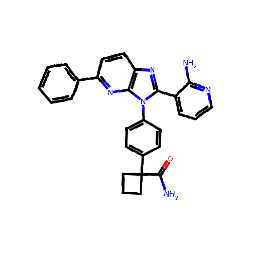 NC(=O)C1(c2ccc(-n3c(-c4cccnc4N)nc4ccc(-c5ccccc5)nc43)cc2)CCC1